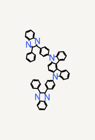 c1ccc(-c2nc3ccccc3nc2-c2ccc(-n3c4ccccc4c4c5c6ccccc6n(-c6ccc(-c7nc8ccccc8nc7-c7ccccc7)cc6)c5ccc43)cc2)cc1